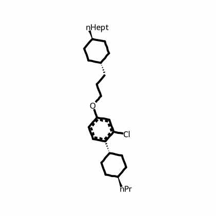 CCCCCCC[C@H]1CC[C@H](CCCOc2ccc([C@H]3CC[C@H](CCC)CC3)c(Cl)c2)CC1